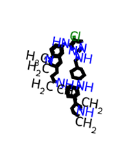 C=C(CCC1=Cc2cc(Nc3nc(NCC4CCC(Nc5cccc(C6CCC(=C)NC6=C)c5)CC4)ncc3Cl)ccc2N(C)C1=C)NC